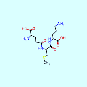 CSCC(NC(=O)CCC(N)C(=O)O)C(=O)NC(CCCN)C(=O)O